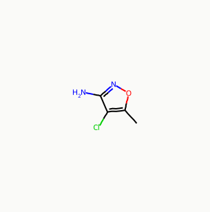 Cc1onc(N)c1Cl